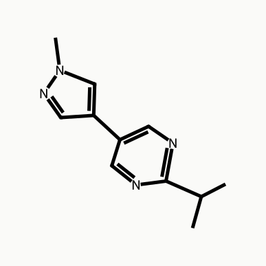 CC(C)c1ncc(-c2cnn(C)c2)cn1